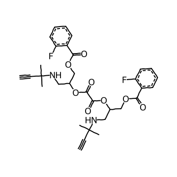 C#CC(C)(C)NCC(COC(=O)c1ccccc1F)OC(=O)C(=O)OC(CNC(C)(C)C#C)COC(=O)c1ccccc1F